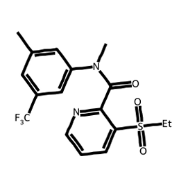 CCS(=O)(=O)c1cccnc1C(=O)N(C)c1cc(C)cc(C(F)(F)F)c1